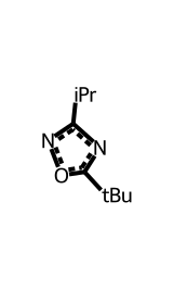 CC(C)c1noc(C(C)(C)C)n1